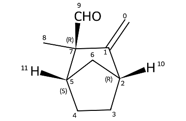 C=C1[C@@H]2CC[C@@H](C2)[C@@]1(C)C=O